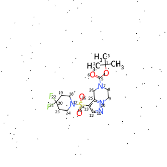 CC(C)(C)OC(=O)N1CCn2ncc(S(=O)(=O)N3CCC(F)(F)CC3)c2C1